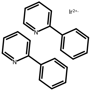 [Ir+2].c1ccc(-c2ccccn2)cc1.c1ccc(-c2ccccn2)cc1